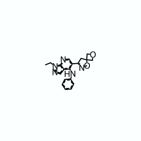 CCn1ncc2c(Nc3ccccc3)c(C3=NOC4(COC4)C3)cnc21